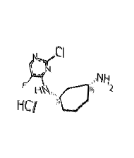 Cl.N[C@@H]1CCC[C@H](Nc2nc(Cl)ncc2F)C1